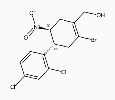 O=[N+]([O-])[C@H]1CC(CO)=C(Br)C[C@@H]1c1ccc(Cl)cc1Cl